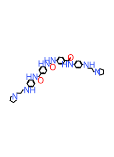 O=C(Nc1ccc(C(=O)Nc2ccc(NCCCN3CCCC3)cc2)cc1)Nc1ccc(C(=O)Nc2ccc(NCCCN3CCCC3)cc2)cc1